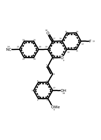 COc1cccc(/C=C/c2oc3cc(F)ccc3c(=O)c2-c2ccc(C#N)cc2)c1O